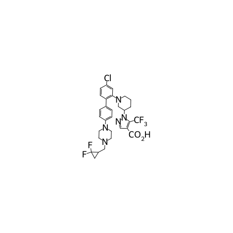 O=C(O)c1cnn(C2CCCN(c3cc(Cl)ccc3-c3ccc(N4CCN(CC5CC5(F)F)CC4)cc3)C2)c1C(F)(F)F